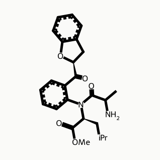 COC(=O)[C@H](CC(C)C)N(C(=O)C(C)N)c1ccccc1C(=O)[C@@H]1Cc2ccccc2O1